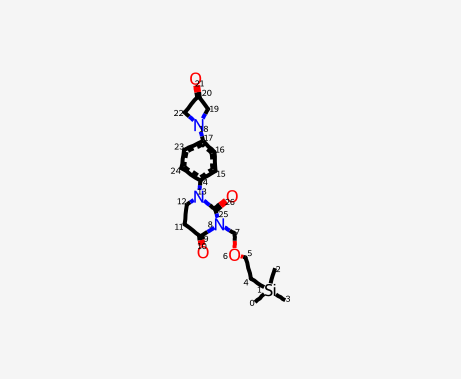 C[Si](C)(C)CCOCN1C(=O)CCN(c2ccc(N3CC(=O)C3)cc2)C1=O